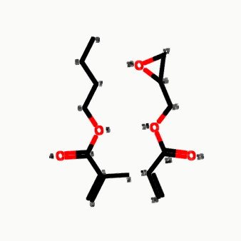 C=C(C)C(=O)OCCCC.C=CC(=O)OCC1CO1